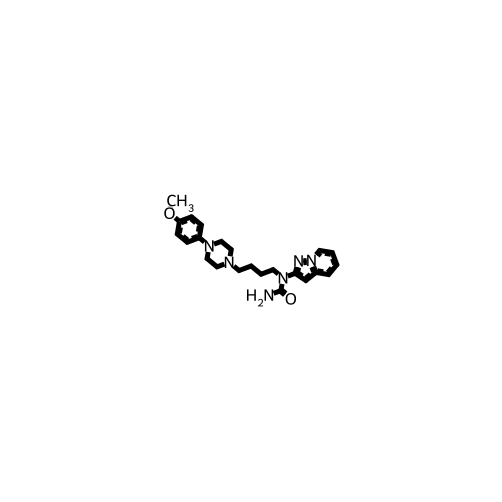 COc1ccc(N2CCN(CCCCN(C(N)=O)c3cc4ccccn4n3)CC2)cc1